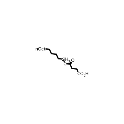 CCCCCCCCCCCC[SiH2]OC(=O)CCC(=O)O